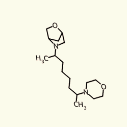 CC(CCCCC(C)N1CC2CC1CO2)N1CCOCC1